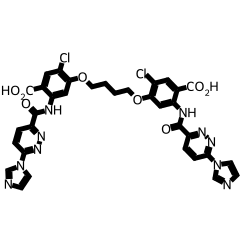 O=C(Nc1cc(OCCCCOc2cc(NC(=O)c3ccc(-n4ccnc4)nn3)c(C(=O)O)cc2Cl)c(Cl)cc1C(=O)O)c1ccc(-n2ccnc2)nn1